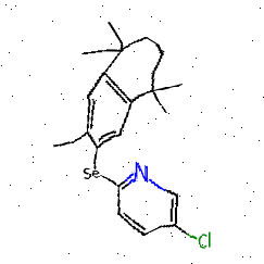 Cc1cc2c(cc1[Se]c1ccc(Cl)cn1)C(C)(C)CCC2(C)C